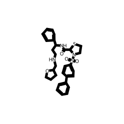 O=C(NC(CCNCC1CCCO1)c1ccccc1)C1SCCN1S(=O)(=O)c1ccc(-c2ccccc2)cc1